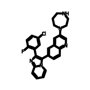 Fc1ccc(Cl)cc1-c1nc2ccccn2c1-c1ccc2ncc(N3CCCNCC3)cc2c1